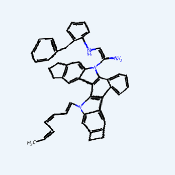 C\C=C/C=C\C=C\n1c2cc3c(cc2c2c4ccccc4c4c(c5cc6c(cc5n4/C(N)=C\Nc4ccccc4Cc4ccccc4)CCC6)c21)CC3